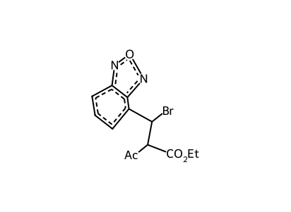 CCOC(=O)C(C(C)=O)C(Br)c1cccc2nonc12